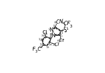 CCc1c(SC(F)(F)F)c(C#N)nn1-c1c(Cl)cc(C(F)(F)F)cc1Cl